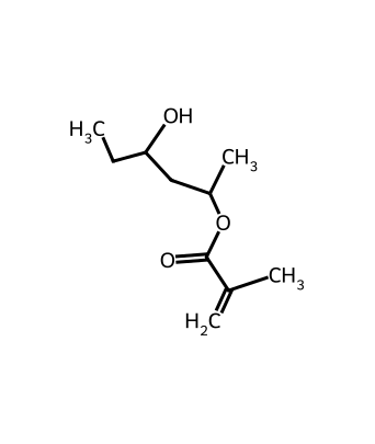 C=C(C)C(=O)OC(C)CC(O)CC